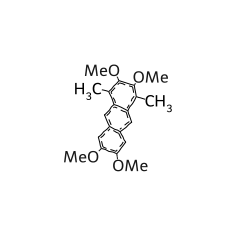 COc1cc2cc3c(C)c(OC)c(OC)c(C)c3cc2cc1OC